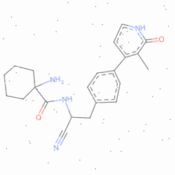 Cc1c(-c2ccc(CC(C#N)NC(=O)C3(N)CCCCC3)cc2)cc[nH]c1=O